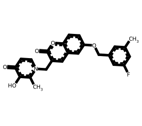 Cc1cc(F)cc(COc2ccc3oc(=O)c(Cn4ccc(=O)c(O)c4C)cc3c2)c1